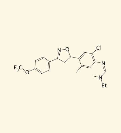 CCN(C)/C=N\c1cc(C)c(C2CC(c3ccc(OC(F)(F)F)cc3)=NO2)cc1Cl